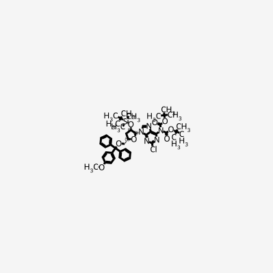 COc1ccc(C(OC[C@@H]2C[C@@H](O[Si](C)(C)C(C)(C)C)[C@H](n3cnc4c(N(C(=O)OC(C)(C)C)C(=O)OC(C)(C)C)nc(Cl)nc43)O2)(c2ccccc2)c2ccccc2)cc1